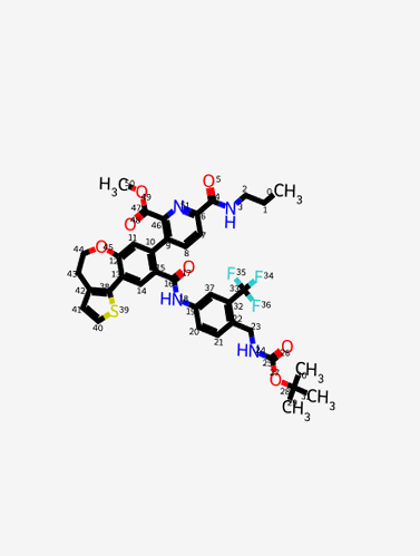 CCCNC(=O)c1ccc(-c2cc3c(cc2C(=O)Nc2ccc(CNC(=O)OC(C)(C)C)c(C(F)(F)F)c2)-c2sccc2CCO3)c(C(=O)OC)n1